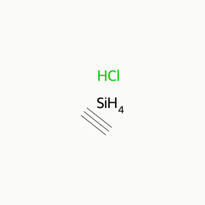 C#C.Cl.[SiH4]